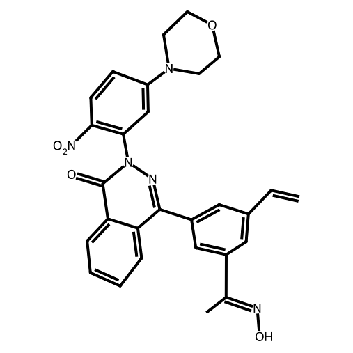 C=Cc1cc(C(C)=NO)cc(-c2nn(-c3cc(N4CCOCC4)ccc3[N+](=O)[O-])c(=O)c3ccccc23)c1